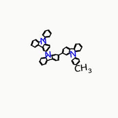 Cc1ccc(-n2c3ccccc3c3ccc(-c4ccc5c6ccccc6n(-c6ccc7c(c6)c6ccccc6n7-c6ccccc6)c5c4)cc32)cc1